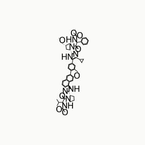 COC[C@H]1C[C@@H](c2nc(C3CC3)c(-c3ccc4c(c3)COc3cc5c(ccc6nc([C@@H]7CC[C@H](C)N7C(=O)[C@@H](NC(=O)OC)C(C)C)[nH]c65)cc3-4)[nH]2)N(C(=O)[C@H](NC(=O)OC)c2ccccc2)C1